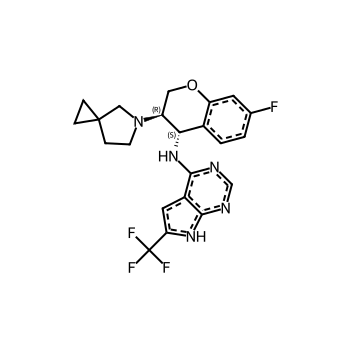 Fc1ccc2c(c1)OC[C@H](N1CCC3(CC3)C1)[C@H]2Nc1ncnc2[nH]c(C(F)(F)F)cc12